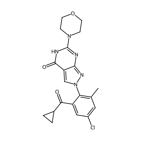 Cc1cc(Cl)cc(C(=O)C2CC2)c1-n1cc2c(=O)[nH]c(N3CCOCC3)nc2n1